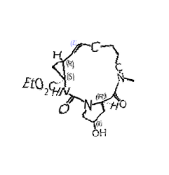 CCOC(=O)[C@]12C[C@@H]1/C=C\CCCCN(C)C(=O)[C@H]1C[C@@H](O)CN1C(=O)N2